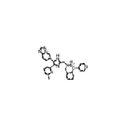 BN(Cc1nc(-c2cccc(C)n2)c(-c2ccc3ncnn3c2)[nH]1)Cc1ccccc1Oc1ccncc1